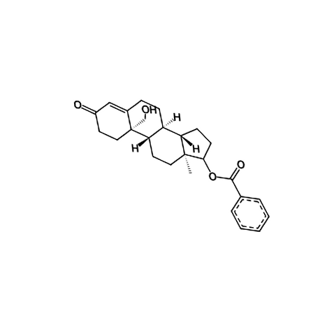 C[C@]12CC[C@H]3[C@@H](CCC4=CC(=O)CC[C@@]43CO)[C@@H]1CCC2OC(=O)c1ccccc1